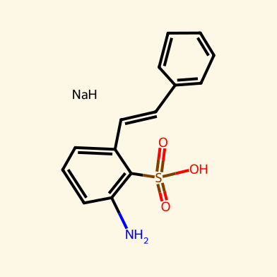 Nc1cccc(C=Cc2ccccc2)c1S(=O)(=O)O.[NaH]